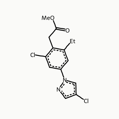 CCc1cc(-n2cc(Cl)cn2)cc(Cl)c1CC(=O)OC